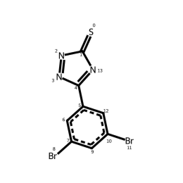 S=C1N=NC(c2cc(Br)cc(Br)c2)=N1